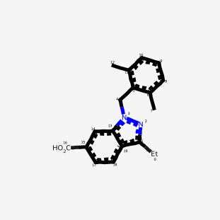 CCc1nn(Cc2c(C)cccc2C)c2cc(C(=O)O)ccc12